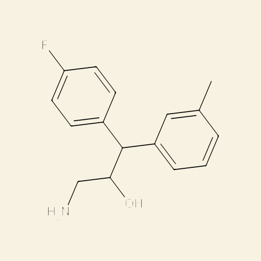 Cc1cccc(C(c2ccc(F)cc2)C(O)CN)c1